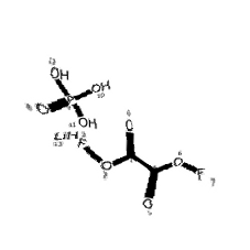 O=C(OF)C(=O)OF.O=P(O)(O)O.[LiH]